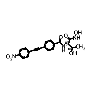 C[C@@H](O)[C@H](NC(=O)c1ccc(C#Cc2ccc([N+](=O)[O-])cc2)cc1)C(=O)NO